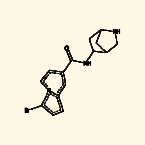 O=C(NC1CC2CC1CN2)c1ccn2c(Br)ccc2c1